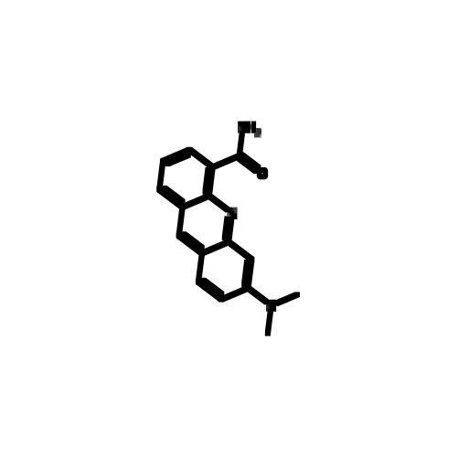 CN(C)c1ccc2cc3cccc(C(N)=O)c3nc2c1